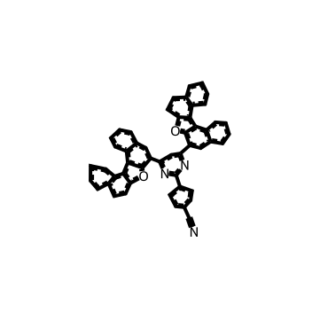 N#Cc1ccc(-c2nc(-c3cc4ccccc4c4c3oc3ccc5ccccc5c34)cc(-c3cc4ccccc4c4c3oc3ccc5ccccc5c34)n2)cc1